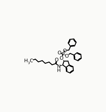 CCCCCCCC(=O)N[C@@H]1c2ccccc2C[C@H]1OP(=O)(OCc1ccccc1)OCc1ccccc1